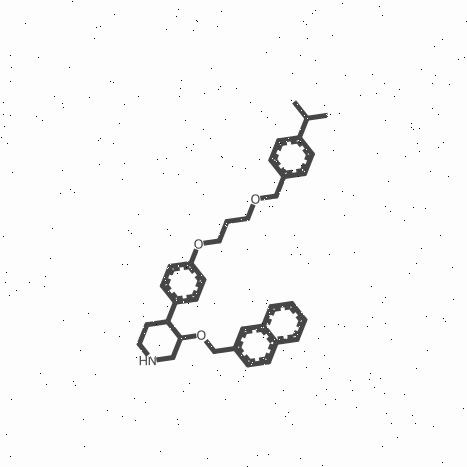 CC(C)c1ccc(COCCCOc2ccc(C3CCNCC3OCc3ccc4ccccc4c3)cc2)cc1